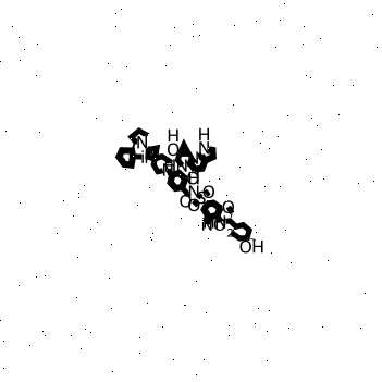 CC(C)c1ccccc1[C@H]1CCCN1C1CC2(CCN(c3ccc(C(=O)NS(=O)(=O)c4cc5c(c([N+](=O)[O-])c4)N[C@@H]([C@H]4CC[C@](C)(O)CC4)CO5)c(Oc4cc5cc[nH]c5nc4NCC4(O)CC4)c3)CC2)C1